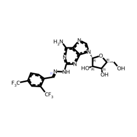 Nc1nc(N/N=C/c2ccc(C(F)(F)F)cc2C(F)(F)F)nc2c1ncn2[C@@H]1O[C@H](CO)[C@@H](O)[C@H]1O